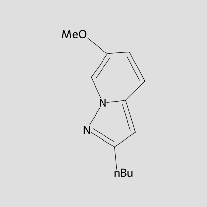 CCCCc1cc2ccc(OC)cn2n1